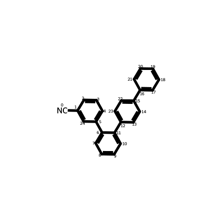 N#Cc1cccc(-c2ccccc2-c2ccc(-c3ccccc3)cc2)c1